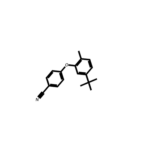 Cc1ccc(C(C)(C)C)cc1Oc1ccc(C#N)cc1